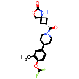 Cc1cc(C2CCN(C(=O)[C@H]3C[C@]4(COC(=O)N4)C3)CC2)ccc1OC(F)F